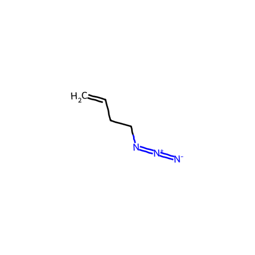 C=CCCN=[N+]=[N-]